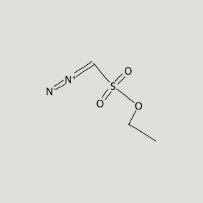 CCOS(=O)(=O)C=[N+]=[N-]